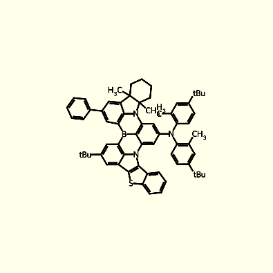 Cc1cc(C(C)(C)C)ccc1N(c1cc2c3c(c1)-n1c4c(cc(C(C)(C)C)cc4c4sc5ccccc5c41)B3c1cc(-c3ccccc3)cc3c1N2C1(C)CCCCC31C)c1ccc(C(C)(C)C)cc1C